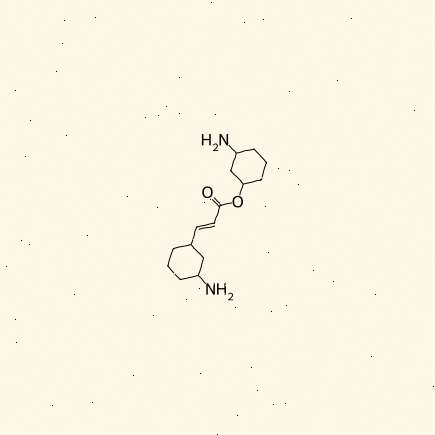 NC1CCCC(/C=C/C(=O)OC2CCCC(N)C2)C1